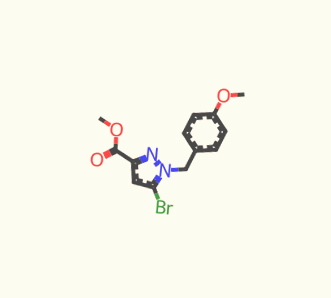 COC(=O)c1cc(Br)n(Cc2ccc(OC)cc2)n1